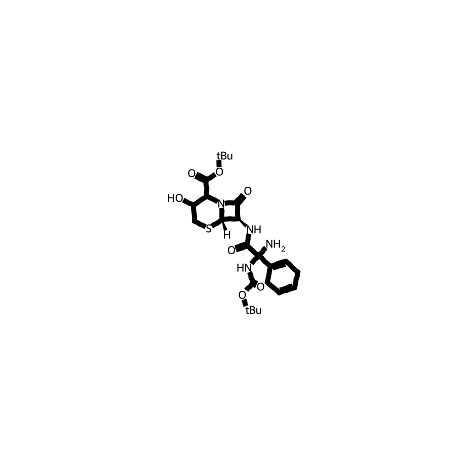 CC(C)(C)OC(=O)NC(N)(C(=O)N[C@@H]1C(=O)N2C(C(=O)OC(C)(C)C)C(O)CS[C@@H]12)C1=CCC=CC1